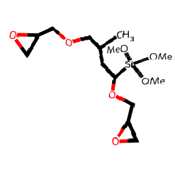 CO[Si](OC)(OC)C(CC(C)COCC1CO1)OCC1CO1